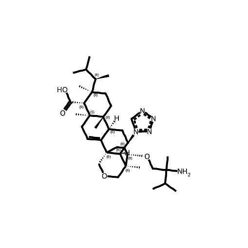 CC(C)[C@@H](C)[C@@]1(C)CC[C@]2(C)[C@H]3CC[C@@H]4[C@@]5(COC[C@]4(C)[C@@H](OCC(C)(N)C(C)C)[C@H](n4cnnn4)C5)C3=CC[C@@]2(C)[C@@H]1C(=O)O